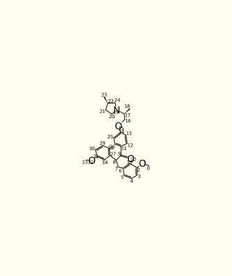 COc1cccc(CC(C(=O)c2ccc(OC[C@H](C)N3CC[C@@H](C)C3)cc2)c2cccc(OC)c2)c1